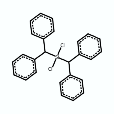 Cl[Si](Cl)(C(c1ccccc1)c1ccccc1)C(c1ccccc1)c1ccccc1